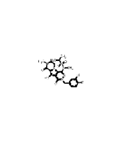 CC(C)S(=O)(=O)N(C)c1nn(Cc2ccc(F)c(Cl)c2)c(=O)c2c(O)c3n(c12)CCN(C)C3=O